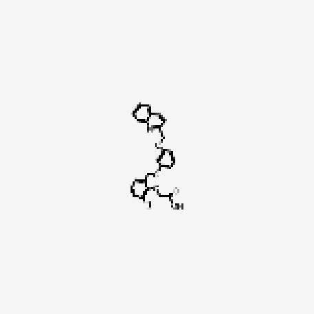 O=C(O)COc1c(Cl)cccc1COc1cccc(OCc2ccc3ccccc3n2)c1